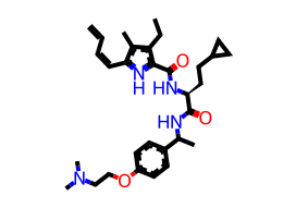 C=C/C=C\c1[nH]c(C(=O)N[C@@H](CCC2CC2)C(=O)NC(C)c2ccc(OCCN(C)C)cc2)c(CC)c1C